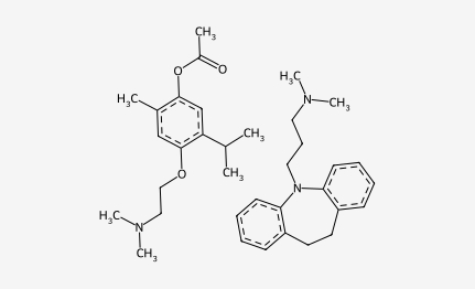 CC(=O)Oc1cc(C(C)C)c(OCCN(C)C)cc1C.CN(C)CCCN1c2ccccc2CCc2ccccc21